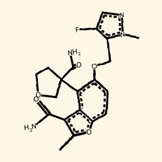 Cc1oc2ccc(OCc3c(F)cnn3C)c(C3(C(N)=O)CCOC3)c2c1C(N)=O